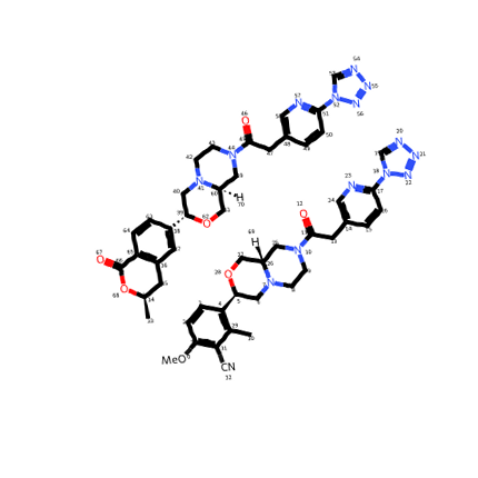 COc1ccc([C@@H]2CN3CCN(C(=O)Cc4ccc(-n5cnnn5)nc4)C[C@H]3CO2)c(C)c1C#N.C[C@@H]1Cc2cc([C@@H]3CN4CCN(C(=O)Cc5ccc(-n6cnnn6)nc5)C[C@H]4CO3)ccc2C(=O)O1